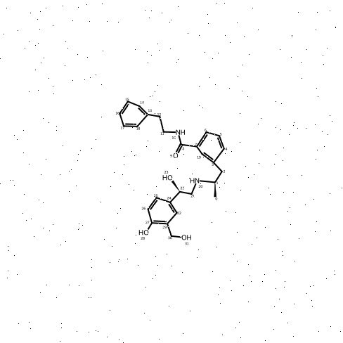 C[C@H](Cc1cccc(C(=O)NCCc2ccccc2)c1)NC[C@H](O)c1ccc(O)c(CO)c1